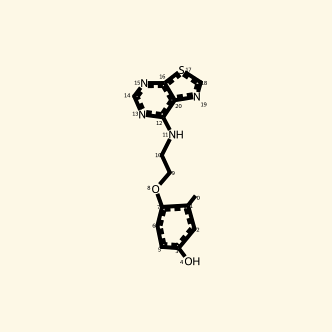 Cc1cc(O)ccc1OCCNc1ncnc2scnc12